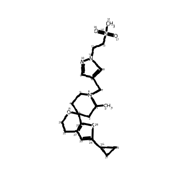 CC1CC2(CCN1Cc1cnn(CCS(C)(=O)=O)c1)OCCc1cc(C3CC3)sc12